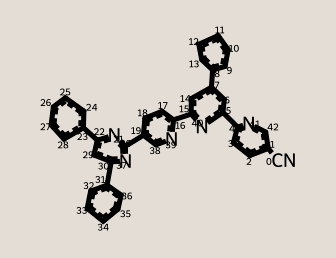 N#Cc1ccc(-c2cc(-c3ccccc3)cc(-c3ccc(-c4nc(-c5ccccc5)cc(-c5ccccc5)n4)cn3)n2)nc1